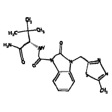 Cc1nnc(Cn2c(=O)n(C(=O)N[C@H](C(N)=O)C(C)(C)C)c3ccccc32)s1